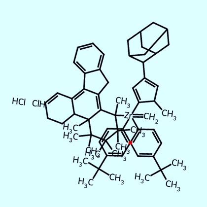 Cl.Cl.[CH2]=[Zr]([C]1=CC(C2C3CC4CC(C3)CC2C4)=CC1C)([c]1ccc(C(C)(C)C)cc1)([c]1ccc(C(C)(C)C)cc1)[C]1(C)C2=C3Cc4ccccc4C3=C3C=CCCC3C2(C)C(C)(C)C(C)(C)C1(C)C